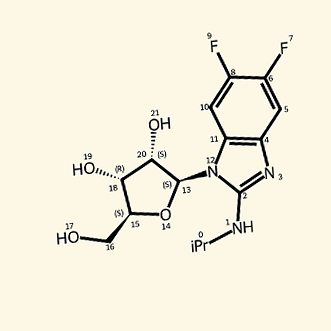 CC(C)Nc1nc2cc(F)c(F)cc2n1[C@H]1O[C@@H](CO)[C@H](O)[C@@H]1O